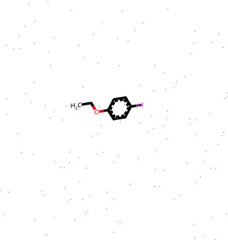 [CH2]COc1ccc(I)cc1